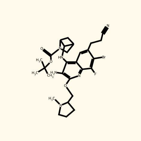 CN1CCCC1COc1nc2c(F)c(Br)c(CCC#N)cc2c(NC2C3CC2N(C(=O)OC(C)(C)C)C3)c1N